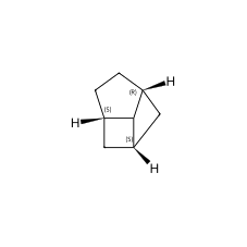 C1C[C@H]2C[C@H]3C[C@@H]1C32